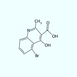 Cc1nc2cccc(Br)c2c(O)c1C(=O)O